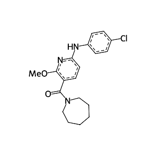 COc1nc(Nc2ccc(Cl)cc2)ccc1C(=O)N1CCCCCC1